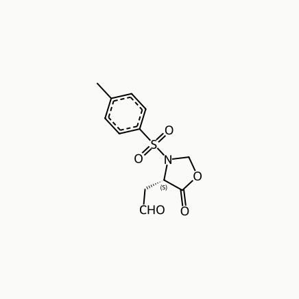 Cc1ccc(S(=O)(=O)N2COC(=O)[C@@H]2CC=O)cc1